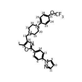 Cc1oc(-c2ccc(-n3cccn3)cc2)nc1CN1CCN(c2ccc(OC(F)(F)F)cc2)CC1